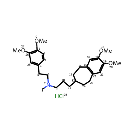 COc1ccc(CCN(C)CCCC2CCc3cc(OC)c(OC)cc3CC2)cc1OC.Cl